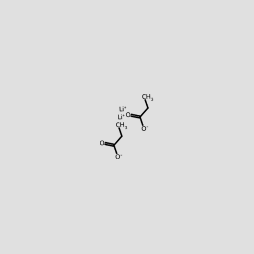 CCC(=O)[O-].CCC(=O)[O-].[Li+].[Li+]